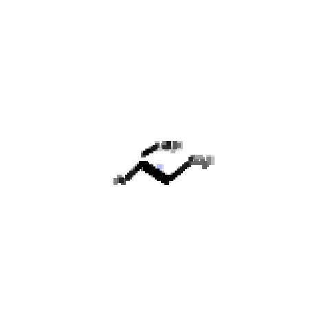 CC(=O)O.CCC/C=C/C(=O)O